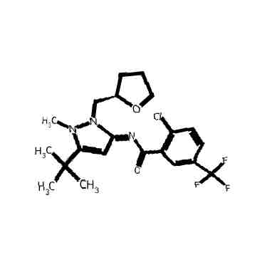 Cn1c(C(C)(C)C)c/c(=N\C(=O)c2cc(C(F)(F)F)ccc2Cl)n1C[C@H]1CCCO1